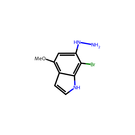 COc1cc(NN)c(Br)c2[nH]ccc12